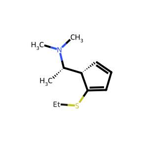 CCSC1=CC=C[C@H]1[C@H](C)N(C)C